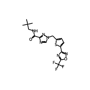 CC(C)(C)CNC(=O)c1ncn(Cc2ccc(-c3noc(C(F)(F)F)n3)s2)n1